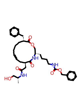 C[C@H](CO)NC(=O)C[C@H]1C/C=C\CCC[C@H](Cc2ccccc2)C(=O)OC[C@H](CCCCNC(=O)OCc2ccccc2)NC1=O